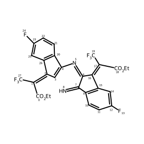 CCOC(=O)/C(=C1C=C(/N=C2\C(=N)c3ccc(F)cc3\C2=C(/C(=O)OCC)C(F)(F)F)c2ccc(F)cc2\1)C(F)(F)F